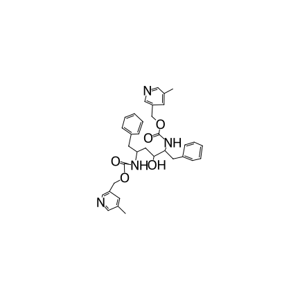 Cc1cncc(COC(=O)NC(Cc2ccccc2)CC(O)C(Cc2ccccc2)NC(=O)OCc2cncc(C)c2)c1